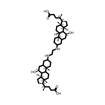 C[C@H](CCC(=O)O)[C@H]1CC[C@@H]2C3[C@@H](CC[C@@]21C)[C@@]1(C)CCC(NCCNC2CC[C@@]4(C)C(C2)C[C@H](O)C2C4CC[C@]4(C)[C@@H]([C@H](C)CCC(=O)O)CC[C@@H]24)CC1C[C@@H]3O